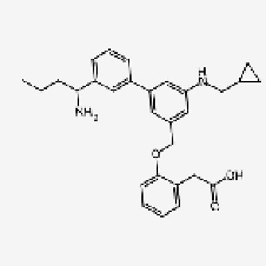 CCCC(N)c1cccc(-c2cc(COc3ccccc3CC(=O)O)cc(NCC3CC3)c2)c1